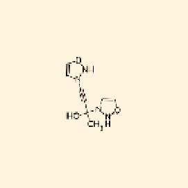 CC(O)(C#CN1C=CON1)N1C=CON1